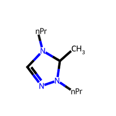 CCCN1C=NN(CCC)C1C